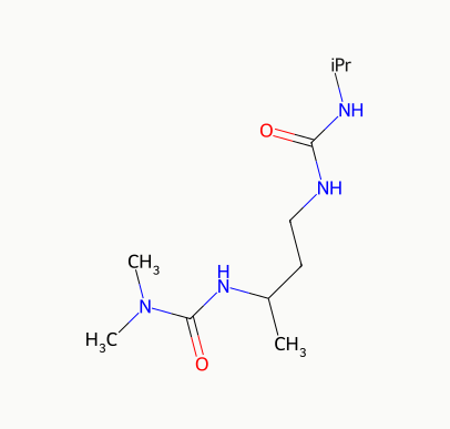 CC(C)NC(=O)NCCC(C)NC(=O)N(C)C